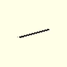 [CH]=C/C=C/CCCCCCCCCCCCCCCCCCCC